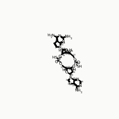 Nc1nc(N)c2ccn([C@@H]3O[C@@H]4COP(=O)(S)O[C@H]5C[C@H](n6cnc7c(N)ncnc76)O[C@@H]5COP(=O)(S)O[C@@H]3[C@@H]4O)c2n1